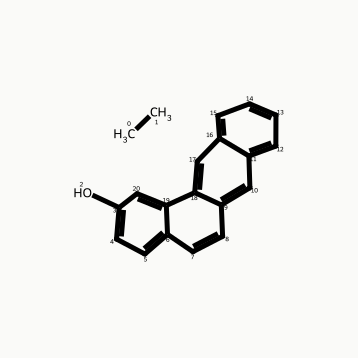 CC.Oc1ccc2ccc3cc4ccccc4cc3c2c1